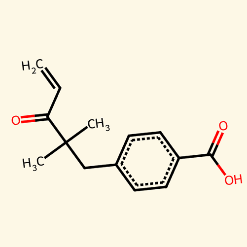 C=CC(=O)C(C)(C)Cc1ccc(C(=O)O)cc1